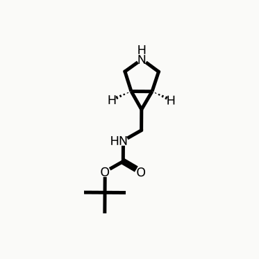 CC(C)(C)OC(=O)NCC1[C@H]2CNC[C@@H]12